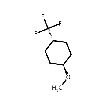 CO[C@H]1CC[C@H](C(F)(F)F)CC1